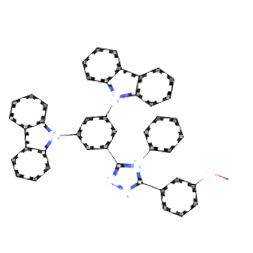 COc1cccc(-c2nnc(-c3cc(-n4c5ccccc5c5ccccc54)cc(-n4c5ccccc5c5ccccc54)c3)n2-c2ccccc2)c1